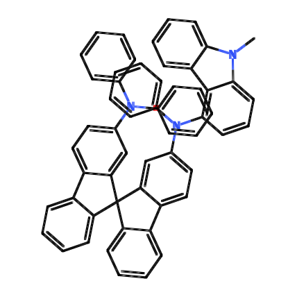 Cn1c2ccccc2c2c(N(c3ccccc3)c3ccc4c(c3)C3(c5ccccc5-c5ccc(N(c6ccccc6)c6ccccc6)cc53)c3ccccc3-4)cccc21